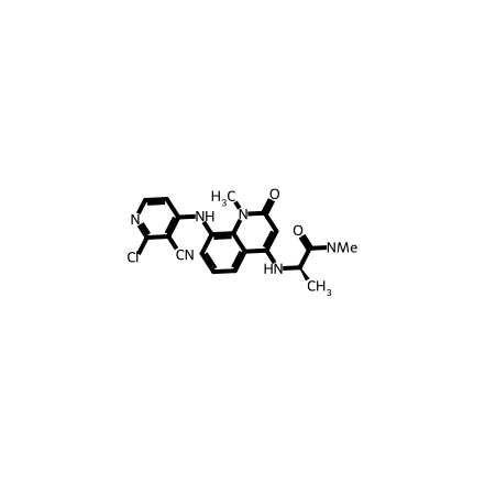 CNC(=O)[C@@H](C)Nc1cc(=O)n(C)c2c(Nc3ccnc(Cl)c3C#N)cccc12